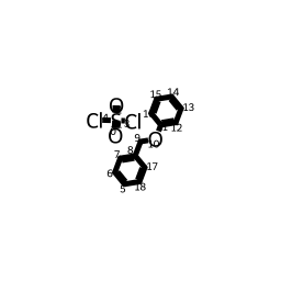 O=S(=O)(Cl)Cl.c1ccc(COc2ccccc2)cc1